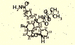 CC(C)S(=O)(=O)NC(=O)c1c(-c2ccc[nH]c2=O)c2c3occc3c(F)cc2n1Cc1csc(C(N)=O)c1